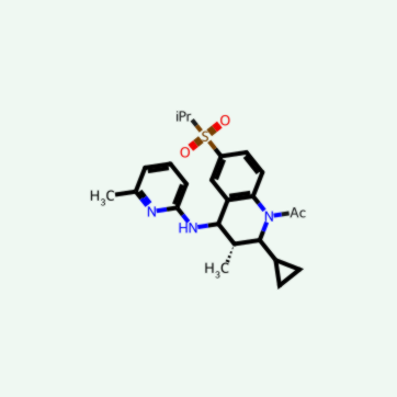 CC(=O)N1c2ccc(S(=O)(=O)C(C)C)cc2C(Nc2cccc(C)n2)[C@@H](C)C1C1CC1